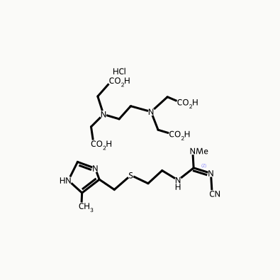 CN/C(=N/C#N)NCCSCc1nc[nH]c1C.Cl.O=C(O)CN(CCN(CC(=O)O)CC(=O)O)CC(=O)O